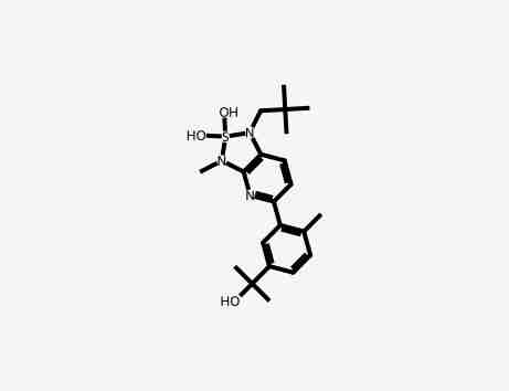 Cc1ccc(C(C)(C)O)cc1-c1ccc2c(n1)N(C)S(O)(O)N2CC(C)(C)C